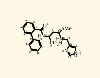 CSC(CC(NC(=O)c1ccccc1-c1ccccc1)C(=O)O)NCc1c[nH]cn1